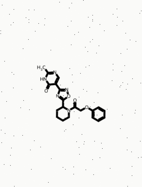 Cc1ncc(-c2noc(C3CCCCN3C(=O)COc3ccccc3)n2)c(=O)[nH]1